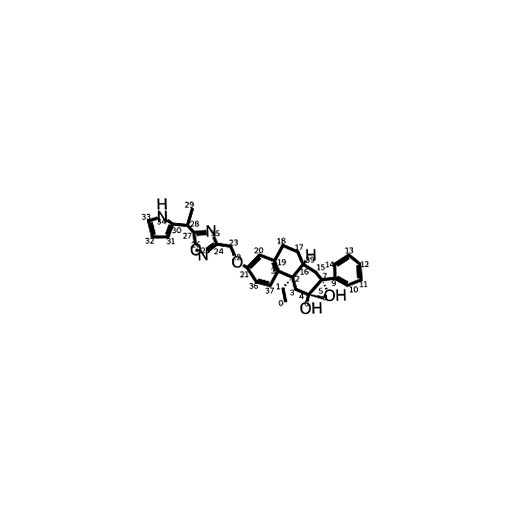 CC[C@@]12C[C@@](C)(O)[C@](O)(c3ccccc3)C[C@H]1CCc1cc(OCc3noc(C(C)c4ccc[nH]4)n3)ccc12